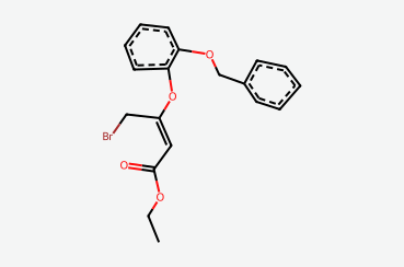 CCOC(=O)/C=C(\CBr)Oc1ccccc1OCc1ccccc1